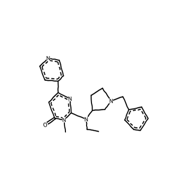 CCN(c1nc(-c2ccncc2)cc(=O)n1C)C1CCN(Cc2ccccc2)C1